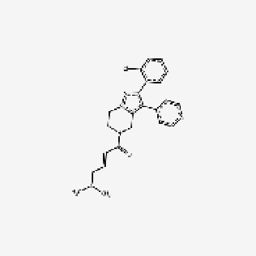 CN(C)C/C=C/C(=O)N1CCn2nc(-c3ccccc3Cl)c(-c3ccncc3)c2C1